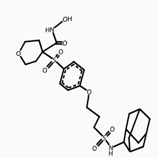 O=C(NO)C1(S(=O)(=O)c2ccc(OCCCS(=O)(=O)NC3C4CC5CC(C4)CC3C5)cc2)CCOCC1